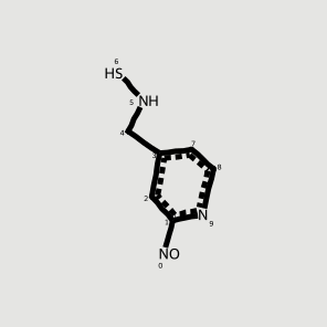 O=Nc1cc(CNS)ccn1